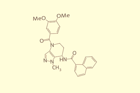 COc1ccc(C(=O)N2CCC(NC(=O)c3cccc4ccccc34)c3c2cnn3C)cc1OC